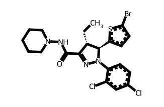 CC[C@H]1C(C(=O)NN2CCCCC2)=NN(c2ccc(Cl)cc2Cl)[C@@H]1c1ccc(Br)s1